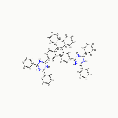 c1ccc(-c2nc(-c3ccccc3)nc(-c3ccc(-c4c(-c5cccc(-c6nc(-c7ccccc7)nc(-c7ccccc7)n6)c5)c5ccccc5c5ccccc45)cc3)n2)cc1